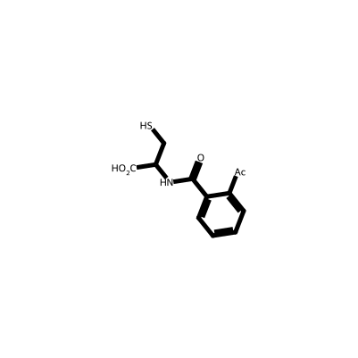 CC(=O)c1ccccc1C(=O)NC(CS)C(=O)O